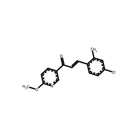 COc1ccc(C(=O)C=Cc2ccc(Cl)cc2C)cn1